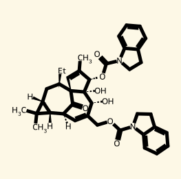 CC[C@@H]1C[C@@H]2[C@H]([C@@H]3C=C(COC(=O)N4CCc5ccccc54)[C@@H](O)[C@]4(O)[C@@H](OC(=O)N5CCc6ccccc65)C(C)=C[C@@]14C3=O)C2(C)C